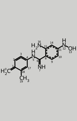 C=C1C=C=C(NC(=N)c2ccc(NO)cc2N)C=C1C